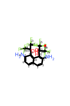 Nc1ccc2ccc(N)c(C(O)(C(F)(F)F)C(F)(F)F)c2c1C(O)(C(F)(F)F)C(F)(F)F